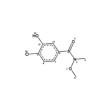 CON(C)C(=O)c1ccc(Cl)c(O)c1